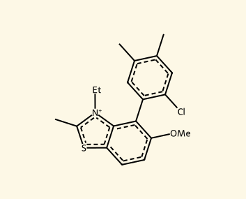 CC[n+]1c(C)sc2ccc(OC)c(-c3cc(C)c(C)cc3Cl)c21